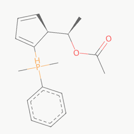 CC(=O)O[C@H](C)[C@@H]1C=CC=C1[PH](C)(C)c1ccccc1